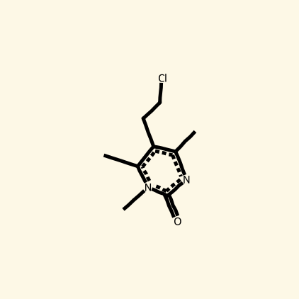 Cc1nc(=O)n(C)c(C)c1CCCl